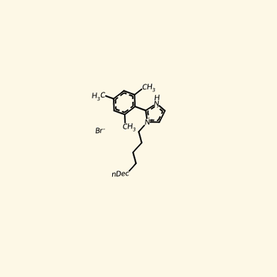 CCCCCCCCCCCCCC[n+]1cc[nH]c1-c1c(C)cc(C)cc1C.[Br-]